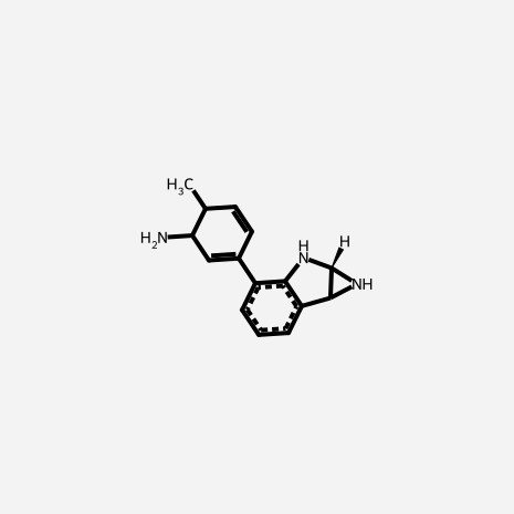 CC1C=CC(c2cccc3c2N[C@@H]2NC32)=CC1N